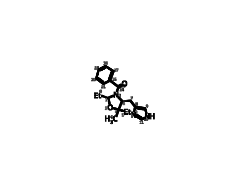 CC[C@@H]1OC(C)(CC)[C@H](Cc2c[nH]cn2)N1C(=O)c1ccccc1